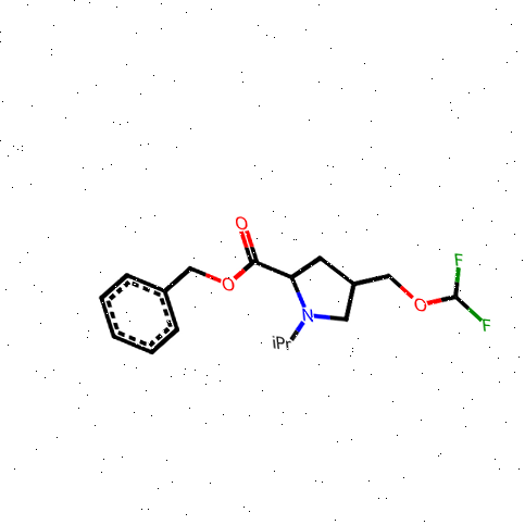 CC(C)N1CC(COC(F)F)CC1C(=O)OCc1ccccc1